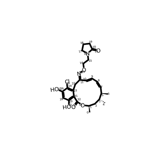 C[C@@H]1C[C@@H](C)[C@H](C)\C=C/C=C/C(=N\OCCN2CCCC2=O)Cc2c(Cl)c(O)cc(O)c2C(=O)O1